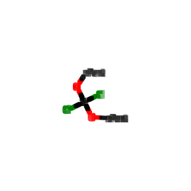 CCCCC[O][Zr]([Cl])([Cl])[O]CCCCC